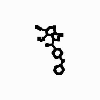 N#Cc1cnc2[nH]cc(C(=O)c3ccc(Oc4ccccc4)cc3)c2c1N